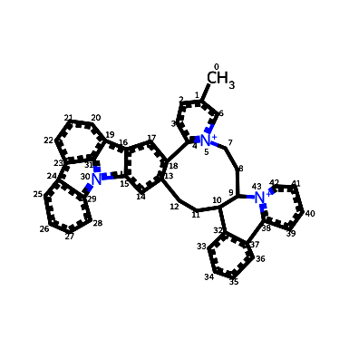 Cc1ccc2[n+](c1)CCC1C(CCc3cc4c(cc3-2)c2cccc3c5ccccc5n4c32)c2ccccc2-c2cccc[n+]21